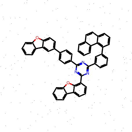 c1cc(-c2nc(-c3ccc(-c4ccc5oc6ccccc6c5c4)cc3)nc(-c3cccc4c3oc3ccccc34)n2)cc(-c2cccc3ccc4ccccc4c23)c1